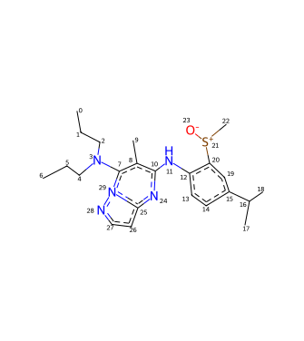 CCCN(CCC)c1c(C)c(Nc2ccc(C(C)C)cc2[S+](C)[O-])nc2ccnn12